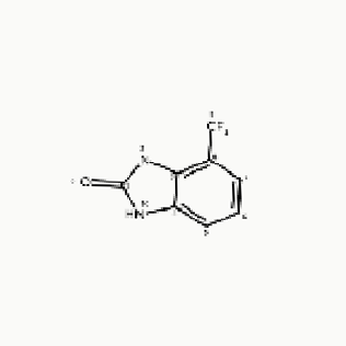 O=C1[N]c2c(cccc2C(F)(F)F)N1